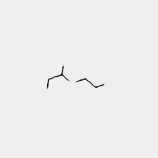 CCC(C)SCC[O]